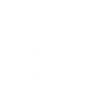 Oc1c2ccccc2cc2c1[nH]c1ccccc12